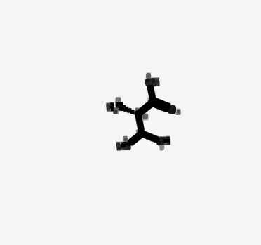 N[C@H](C(=O)O)C(O)O